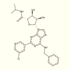 CC(C)NC(=O)[C@H]1O[C@@H](n2cnc3c(NCc4ccccc4)nc(-c4cncc(Cl)c4)nc32)[C@H](O)[C@@H]1O